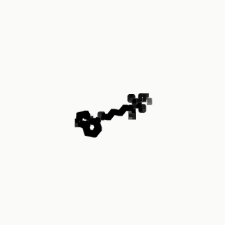 O=S(=O)(NCCCCOc1cccc2nccn12)C(F)(F)F